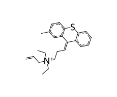 C=CC[N+](CC)(CC)CC/C=C1/c2ccccc2Sc2ccc(C)cc21